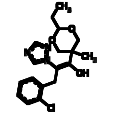 CCC1OCC(C)(C(O)=C(Cc2ccccc2Cl)n2cncn2)CO1